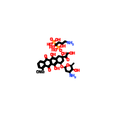 COc1cccc2c1C(=O)c1c(O)c3c(c(O)c1C2=O)C[C@@](O)(C(=O)CO)C[C@@H]3O[C@H]1C[C@H](N)[C@H](O)[C@H](C)O1.NCCCC(O)(P(=O)(O)O)P(=O)(O)O